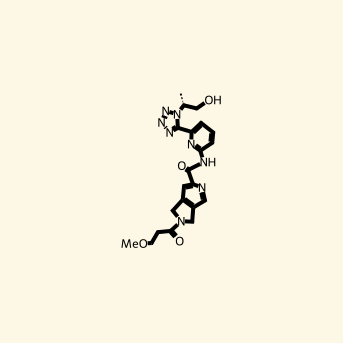 COCCC(=O)N1Cc2cnc(C(=O)Nc3cccc(-c4nnnn4[C@H](C)CO)n3)cc2C1